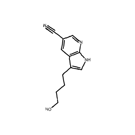 N#Cc1cnc2[nH]cc(CCCCO)c2c1